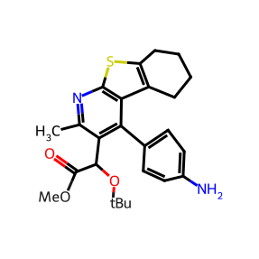 COC(=O)C(OC(C)(C)C)c1c(C)nc2sc3c(c2c1-c1ccc(N)cc1)CCCC3